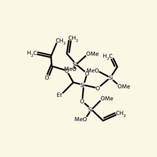 C=C[Si](OC)(OC)O[Si](O[Si](C=C)(OC)OC)(O[Si](C=C)(OC)OC)C(CC)OC(=O)C(=C)C